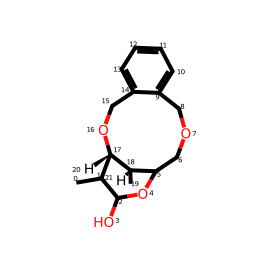 CC1C(O)OC2COCc3ccccc3CO[C@@H]1[C@@H]2C